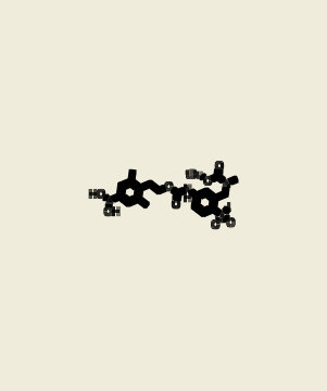 Cc1cc(B(O)O)cc(C)c1CCOC(=O)Nc1ccc(S(=O)(=O)I)c(CN(C)C(=O)OC(C)(C)C)c1